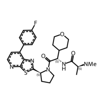 CN[C@@H](C)C(=O)N[C@H](C(=O)N1CCC[C@H]1c1nc2c(-c3ccc(F)cc3)ccnc2s1)C1CCOCC1